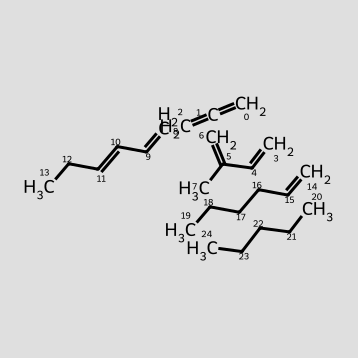 C=C=C.C=CC(=C)C.C=CC=CCC.C=CCCCC.CCCCC